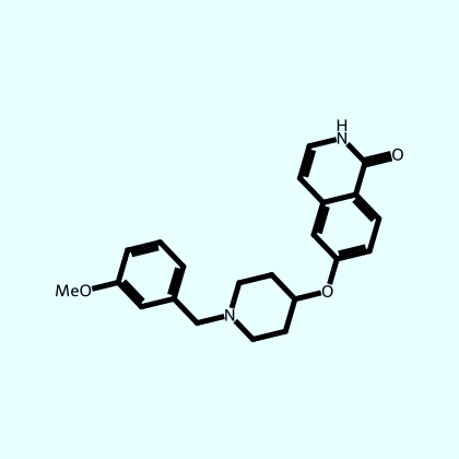 COc1cccc(CN2CCC(Oc3ccc4c(=O)[nH]ccc4c3)CC2)c1